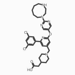 O=C(O)CC1CCN(Cc2cc(Oc3cnc(N4CCCCCNCC4)nc3)nc(-c3cc(Cl)cc(Cl)c3)c2)CC1